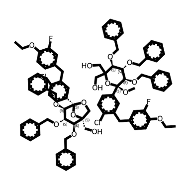 CCOc1ccc(Cc2cc([C@]3(OC)OC(CO)(CO)[C@@H](OCc4ccccc4)[C@H](OCc4ccccc4)[C@H]3OCc3ccccc3)ccc2Cl)cc1F.CCOc1ccc(Cc2cc([C@]34OC[C@](CO)(O3)[C@@H](OCc3ccccc3)[C@H](OCc3ccccc3)[C@H]4OCc3ccccc3)ccc2Cl)cc1F